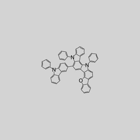 c1ccc(-n2c3ccccc3c3cc(-c4cc5c6c7oc8ccccc8c7ccc6n(-c6ccccc6)c5c5c6ccccc6n(-c6ccccc6)c45)ccc32)cc1